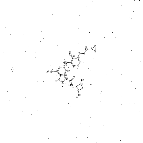 CNc1cc(Nc2cccn(CCOC3CC3)c2=O)nc2c(C(=O)N[C@H]3C(O)C[C@@H]3C)cnn12